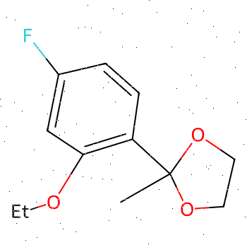 CCOc1cc(F)ccc1C1(C)OCCO1